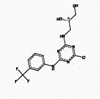 OC[C@@H](O)CNc1nc(Cl)nc(Nc2cccc(C(F)(F)F)c2)n1